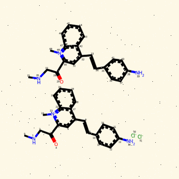 CNCC(=O)c1cc(C=Cc2ccc(N)cc2)c2ccccc2[n+]1C.CNCC(=O)c1cc(C=Cc2ccc(N)cc2)c2ccccc2[n+]1C.[Cl-].[Cl-]